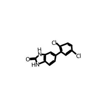 O=c1[nH]c2ccc(-c3cc(Cl)ccc3Cl)cc2[nH]1